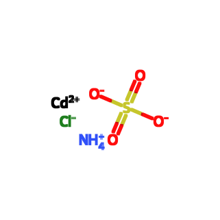 O=S(=O)([O-])[O-].[Cd+2].[Cl-].[NH4+]